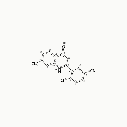 N#Cc1ccc(Cl)c(-c2cc(=O)c3ccc(Cl)cc3[nH]2)n1